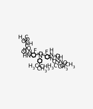 COC(=O)NCC(=O)N1CCC[C@H]1c1nc2c(F)c([C@H]3CC[C@@H](c4ccc5nc([C@@H]6CCCN6C(=O)C(NC(=O)OC)C(C)C)[nH]c5c4F)N3c3ccc(C(C)(C)C)cc3)ccc2[nH]1